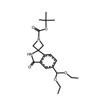 CCOC(OCC)c1ccc2c(c1)C(=O)NC21CN(C(=O)OC(C)(C)C)C1